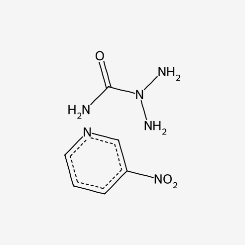 NC(=O)N(N)N.O=[N+]([O-])c1cccnc1